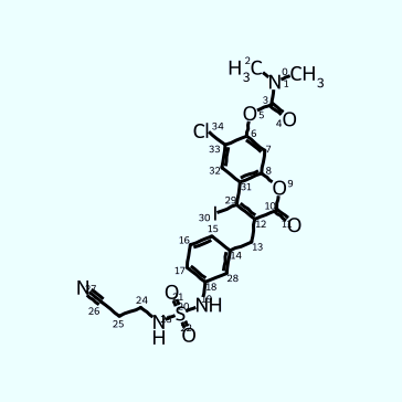 CN(C)C(=O)Oc1cc2oc(=O)c(Cc3cccc(NS(=O)(=O)NCCC#N)c3)c(I)c2cc1Cl